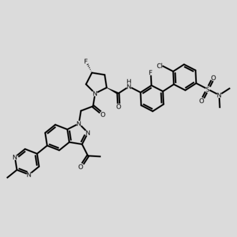 CC(=O)c1nn(CC(=O)N2C[C@H](F)C[C@H]2C(=O)Nc2cccc(-c3cc(S(=O)(=O)N(C)C)ccc3Cl)c2F)c2ccc(-c3cnc(C)nc3)cc12